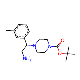 Cc1cccc(C(CN)N2CCN(C(=O)OC(C)(C)C)CC2)c1